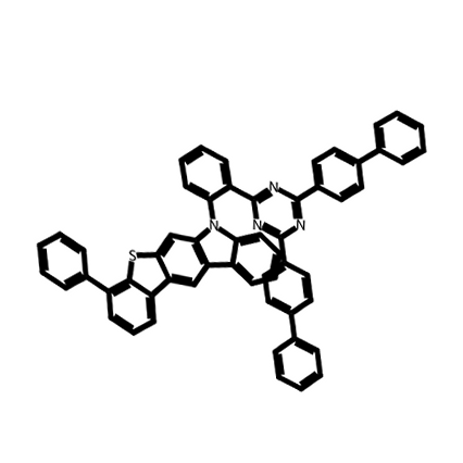 c1ccc(-c2ccc(-c3nc(-c4ccc(-c5ccccc5)cc4)nc(-c4ccccc4-n4c5ccccc5c5cc6c(cc54)sc4c(-c5ccccc5)cccc46)n3)cc2)cc1